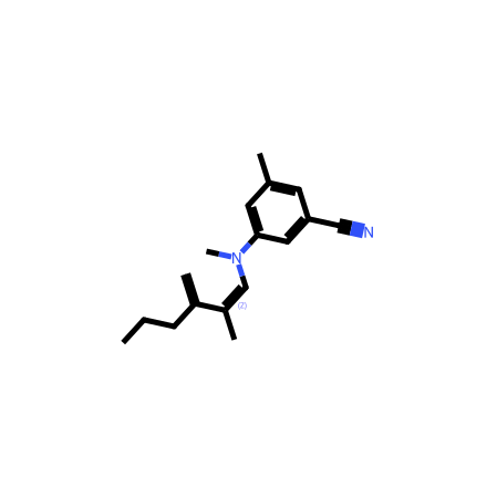 C=C(CCC)/C(C)=C\N(C)c1cc(C)cc(C#N)c1